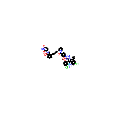 COc1cc(C(=O)N2CCCC[C@H]2C#CC#Cc2cccc3c2CN(C2CCC(=O)NC2=O)C3=O)ccc1NC(=O)[C@@H]1N[C@@H](CC(C)(C)C)[C@@]2(CNc3cc(Cl)ccc32)[C@H]1c1cccc(Cl)c1F